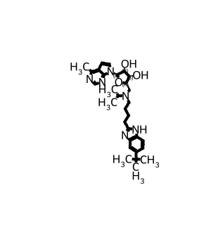 Cc1ncnc2c1ccn2[C@@H]1O[C@H](CN(CCCCc2nc3cc(C(C)(C)C)ccc3[nH]2)C(C)C)[C@@H](O)[C@H]1O